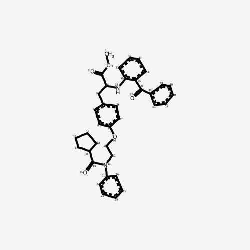 COC(=O)C(Cc1ccc(OCCN(C(=O)C2CCCC2)c2ccccc2)cc1)Nc1ccccc1C(=O)c1ccccc1